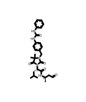 CC(C)C[C@@H](C(=O)N[C@H](C)CC=O)N1C(=O)N(Cc2ccc(NC(=O)Nc3ccccc3)cc2)C(C)(C)C1=O